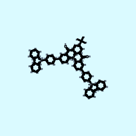 CC(C)(C)c1cc2c(=O)c3cc(-c4ccc(-n5c6ccccc6c6ccccc65)cc4)ccc3n3c4ccc(-c5ccc(-n6c7ccccc7c7ccccc76)cc5)cc4c(=O)c(c1)c23